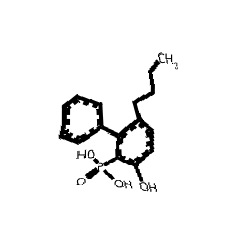 CCCCc1ccc(O)c(P(=O)(O)O)c1-c1ccccc1